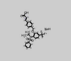 CC(C)N(c1ccc(C(F)(F)F)cc1OCc1ccc(/C=C/C(=O)O)cc1)S(=O)(=O)c1ccccc1.[NaH]